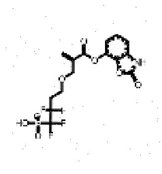 C=C(COCCC(F)(F)C(F)(F)S(=O)(=O)O)C(=O)Oc1cccc2[nH]c(=O)oc12